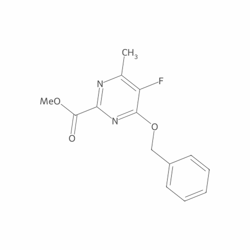 COC(=O)c1nc(C)c(F)c(OCc2ccccc2)n1